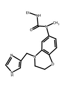 CCNC(=O)N(C)c1ccc2c(c1)N(Cc1c[nH]cn1)CCO2